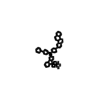 CC1(C)c2ccccc2-c2cc(N(c3ccc(-c4ccccc4)cc3)c3ccc(-c4ccc5ccc6c7ccccc7ccc6c5c4)cc3)ccc21